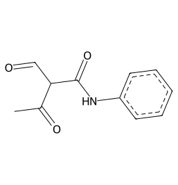 CC(=O)C(C=O)C(=O)Nc1ccccc1